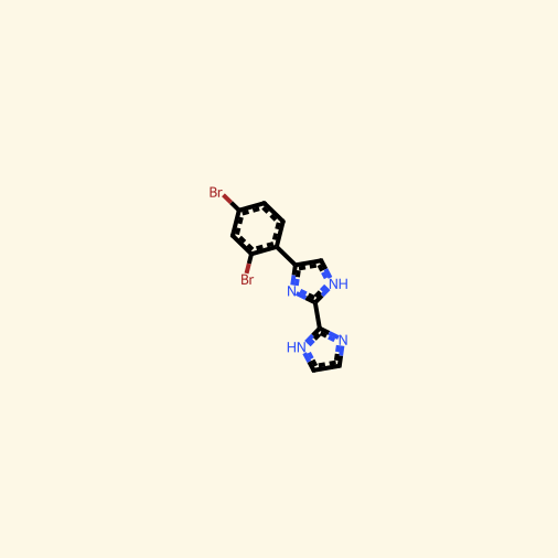 Brc1ccc(-c2c[nH]c(-c3ncc[nH]3)n2)c(Br)c1